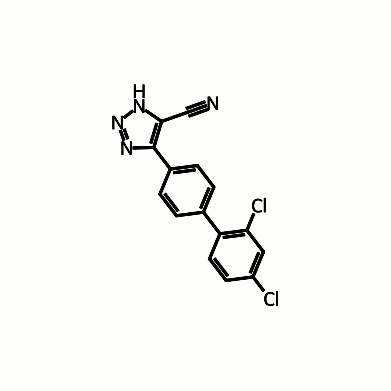 N#Cc1[nH]nnc1-c1ccc(-c2ccc(Cl)cc2Cl)cc1